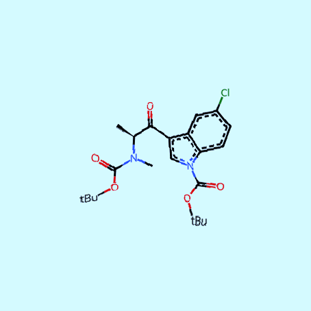 C[C@@H](C(=O)c1cn(C(=O)OC(C)(C)C)c2ccc(Cl)cc12)N(C)C(=O)OC(C)(C)C